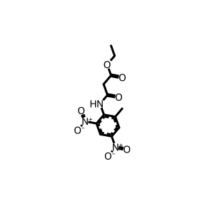 CCOC(=O)CC(=O)Nc1c(C)cc([N+](=O)[O-])cc1[N+](=O)[O-]